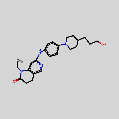 CCN1C(=O)CCc2cnc(Nc3ccc(N4CCC(CCCO)CC4)cc3)cc21